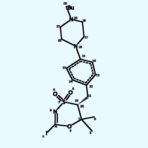 CC1(C)OC(I)=NS(=O)(=O)[C@@H]1Cc1ccc(N2CCN(C(C)(C)C)CC2)cc1